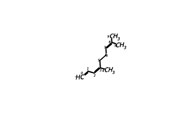 [CH]=CC=C(C)CCC=C(C)C